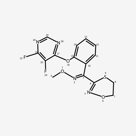 CON=C(C1=NOCCS1)c1ccccc1Oc1ncnc(F)c1F